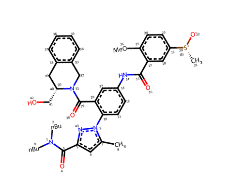 CCCCN(CCCC)C(=O)c1cc(C)n(-c2ccc(NC(=O)c3cc([S@@+](C)[O-])ccc3OC)cc2C(=O)N2Cc3ccccc3C[C@H]2CO)n1